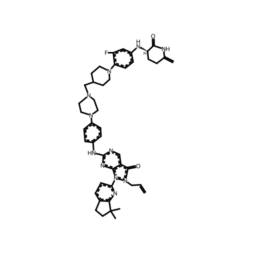 C=CCn1c(=O)c2cnc(Nc3ccc(N4CCN(CC5CCN(c6ccc(N[C@@H]7CCC(=C)NC7=O)cc6F)CC5)CC4)cc3)nc2n1-c1ccc2c(n1)C(C)(C)CC2